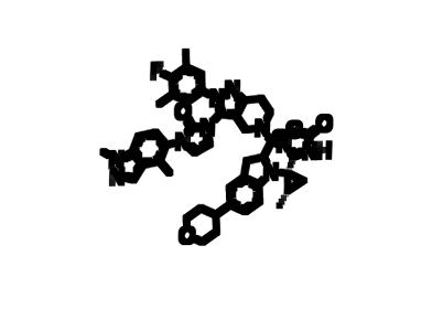 Cc1cc(-n2nc3c(c2-n2ccn(-c4ccc5c(cnn5C)c4C)c2=O)CN(C(=O)C2Cc4cc(C5CCOCC5)ccc4N2[C@@]2(c4noc(=O)[nH]4)C[C@@H]2C)CC3)cc(C)c1F